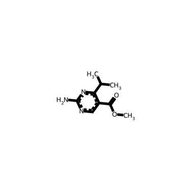 COC(=O)c1cnc(N)nc1C(C)C